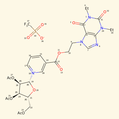 CCn1c(=O)c2c(ncn2CCOC(=O)c2ccc[n+]([C@@H]3O[C@H](COC(C)=O)[C@@H](OC(C)=O)[C@H]3OC(C)=O)c2)n(CC)c1=O.O=S(=O)([O-])C(F)(F)F